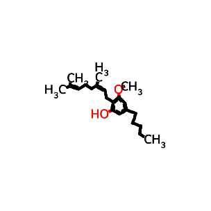 CCCCCc1cc(O)c(CC=C(C)CCC=C(C)C)c(OC)c1